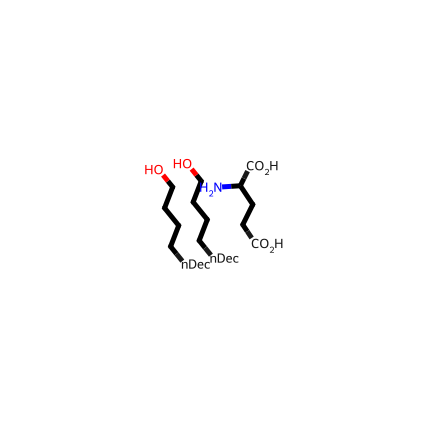 CCCCCCCCCCCCCCO.CCCCCCCCCCCCCCO.NC(CCC(=O)O)C(=O)O